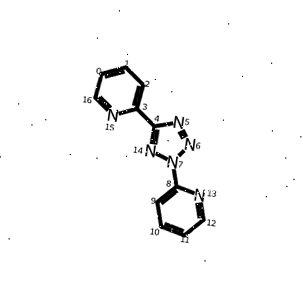 c1ccc(-c2nnn(-c3ccccn3)n2)nc1